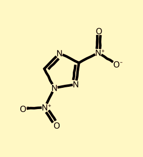 O=[N+]([O-])c1ncn([N+](=O)[O-])n1